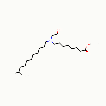 CCCCCCCCC(CCCCCCC)CCCCCCCCCN(CCO)CCCCCCCC(=O)OCCCCCC